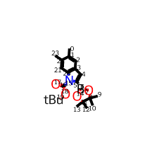 Cc1cc2cc(B3OC(C)(C)C(C)(C)O3)n(C(=O)OC(C)(C)C)c2cc1C